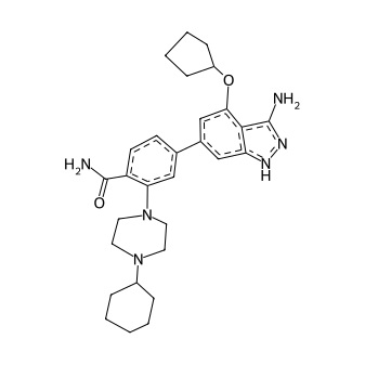 NC(=O)c1ccc(-c2cc(OC3CCCC3)c3c(N)n[nH]c3c2)cc1N1CCN(C2CCCCC2)CC1